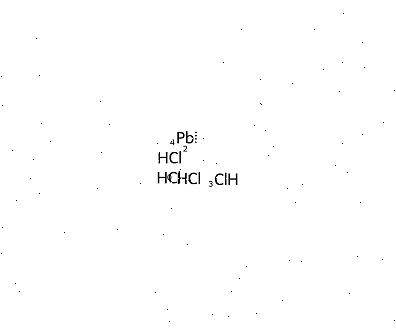 Cl.Cl.Cl.Cl.[Pb]